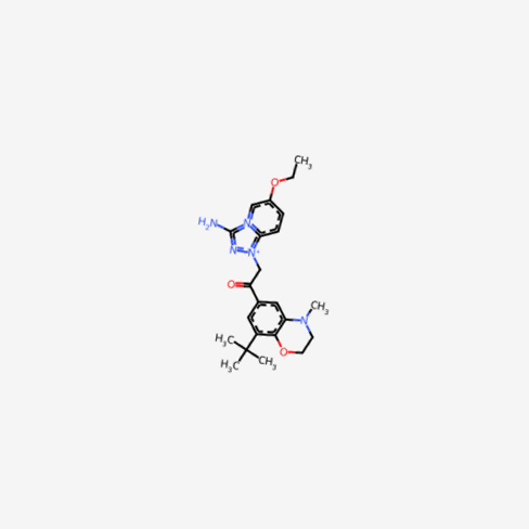 CCOc1ccc2n(c1)c(N)n[n+]2CC(=O)c1cc2c(c(C(C)(C)C)c1)OCCN2C